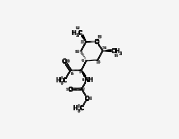 COC(=O)N[C@@H](C(C)=O)[C@@H]1C[C@@H](C)O[C@@H](C)C1